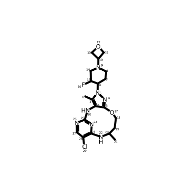 Cc1c2c(nn1C1CCN(C3COC3)CC1F)OCCC(C)Nc1nc(ncc1Cl)N2